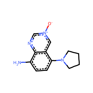 Nc1ccc(N2CCCC2)c2c[n+]([O-])cnc12